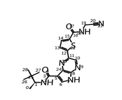 C[C@H](NC(=O)c1c[nH]c2ncc(-c3ccc(C(=O)NCC#N)s3)nc12)C(C)(C)C